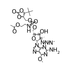 COc1nc(N)nc2c1ncn2C1O[C@H](COP(=O)(NCCOC(C)=O)OCc2oc(=O)oc2C(C)(C)C)[C@@H](O)[C@@]1(C)N=[N+]=[N-]